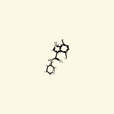 Cc1ccc(F)c2c(C(=O)NC3CCCOC3)c[nH]c12